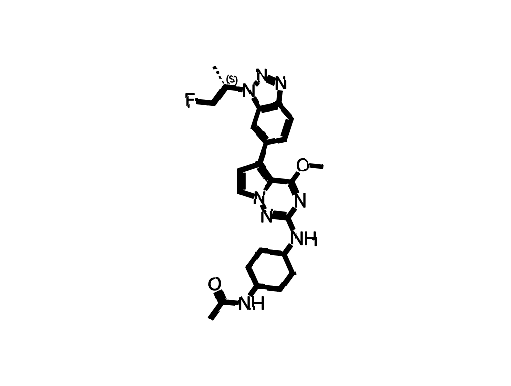 COc1nc(NC2CCC(NC(C)=O)CC2)nn2ccc(-c3ccc4nnn([C@@H](C)CF)c4c3)c12